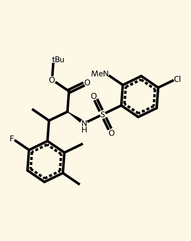 CNc1cc(Cl)ccc1S(=O)(=O)N[C@H](C(=O)OC(C)(C)C)C(C)c1c(F)ccc(C)c1C